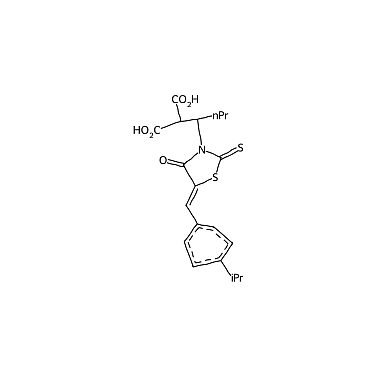 CCCC(C(C(=O)O)C(=O)O)N1C(=O)C(=Cc2ccc(C(C)C)cc2)SC1=S